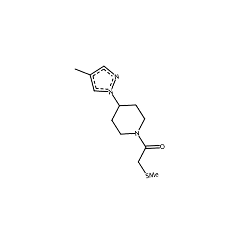 CSCC(=O)N1CCC(n2cc(C)cn2)CC1